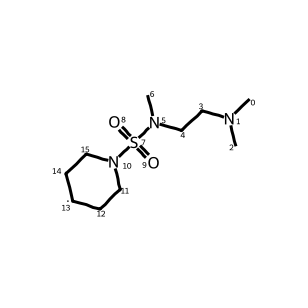 CN(C)CCN(C)S(=O)(=O)N1CC[CH]CC1